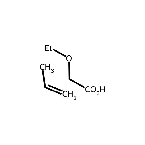 C=CC.CCOCC(=O)O